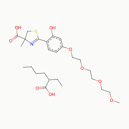 CCCCC(CC)C(=O)O.COCCOCCOCCOc1ccc(C2=NC(C)(C(=O)O)CS2)c(O)c1